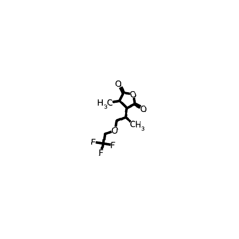 CC(COCC(F)(F)F)C1C(=O)OC(=O)C1C